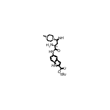 CN1CCN(C(=N)C[C@H](N)C(=O)Nc2ccc3[nH]c(C(=O)OC(C)(C)C)cc3c2)CC1